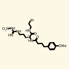 COc1ccc(CCCC(=O)N[C@@H](CCCNC(=N)N[N+](=O)[O-])C(=O)NCCC(C)C)cc1